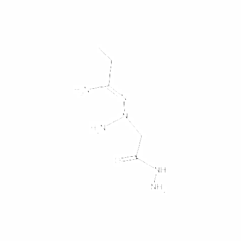 CC/C(N)=N/N(N)CC(=O)NN